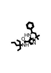 CCCC(CC)(CC)NC(=O)c1cnn2c1NC(c1ccccc1)CC2(C)C